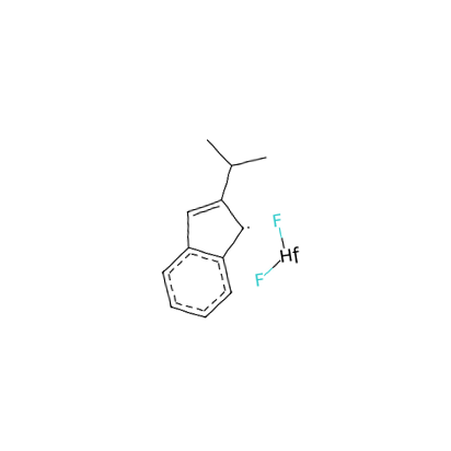 CC(C)C1=Cc2ccccc2[CH]1.[F][Hf][F]